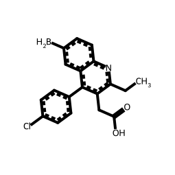 Bc1ccc2nc(CC)c(CC(=O)O)c(-c3ccc(Cl)cc3)c2c1